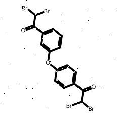 O=C(c1ccc(Oc2cccc(C(=O)C(Br)Br)c2)cc1)C(Br)Br